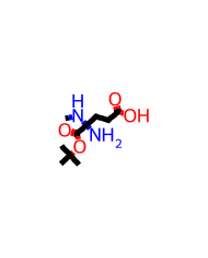 CNC(N)(CCC(=O)O)C(=O)OC(C)(C)C